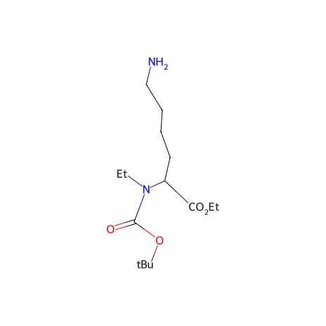 CCOC(=O)C(CCCCN)N(CC)C(=O)OC(C)(C)C